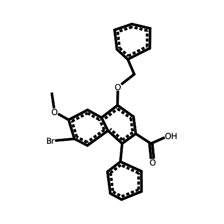 COc1cc2c(OCc3ccccc3)cc(C(=O)O)c(-c3ccccc3)c2cc1Br